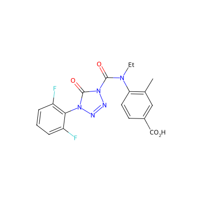 CCN(C(=O)n1nnn(-c2c(F)cccc2F)c1=O)c1ccc(C(=O)O)cc1C